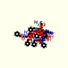 CC(=O)OC[C@H]1O[C@@H](O[C@@H]2[C@@H](O)[C@H](NC(=O)[C@H](CCNC(=O)OCc3ccccc3)OCc3ccccc3)[C@@H](OCc3ccccc3)[C@H](NC(=O)OCc3ccccc3)[C@H]2O[C@H]2O[C@H](CN(Cc3ccccc3)C(=O)OCc3ccccc3)CC[C@H]2N=[N+]=[N-])[C@H](OC(C)=O)[C@@H]1O[C@H]1O[C@@H](CN=[N+]=[N-])[C@H](O)[C@H](O)[C@H]1N=[N+]=[N-]